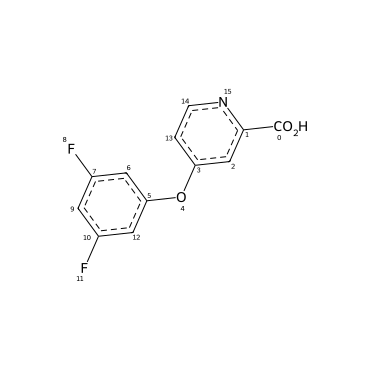 O=C(O)c1cc(Oc2cc(F)cc(F)c2)ccn1